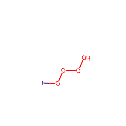 OOOOI